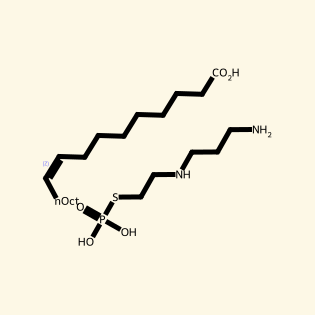 CCCCCCCC/C=C\CCCCCCCC(=O)O.NCCCNCCSP(=O)(O)O